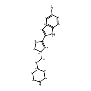 Clc1ccc2[nH]c(C3=N[C@H](CCN4CCNCC4)CS3)cc2c1